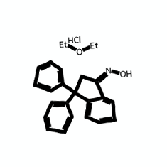 CCOCC.Cl.O/N=C1/CC(c2ccccc2)(c2ccccc2)c2ccccc21